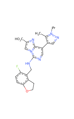 Cc1c(-c2cnc(NCc3c(F)ccc4c3CCO4)n3cc(C(=O)O)nc23)cnn1C(C)C